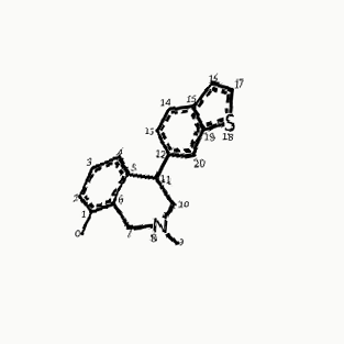 Cc1cccc2c1CN(C)CC2c1ccc2ccsc2c1